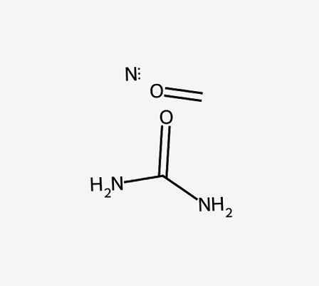 C=O.NC(N)=O.[N]